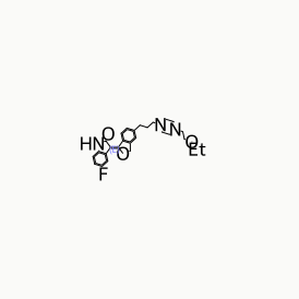 CCOCCN1CCN(CCCc2ccc3c(c2)CO/C3=C2/C(=O)Nc3ccc(F)cc32)CC1